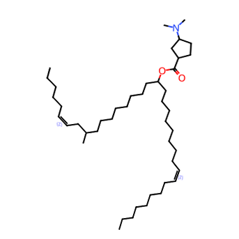 CCCCC/C=C\CC(C)CCCCCCCCC(CCCCCCCC/C=C\CCCCCCCC)OC(=O)C1CCC(N(C)C)C1